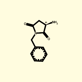 N[C@@H]1CC(=O)N(Cc2ccccc2)C1=O